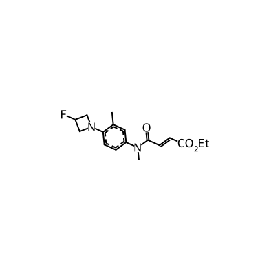 CCOC(=O)/C=C/C(=O)N(C)c1ccc(N2CC(F)C2)c(C)c1